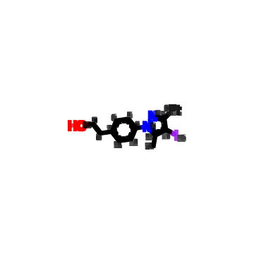 CCc1nn(-c2ccc(CCO)cc2)c(C)c1I